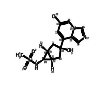 CS(=O)(=O)N[C@H]1[C@@H]2C[C@](O)(c3cc(Cl)cn4cncc34)C[C@@H]21